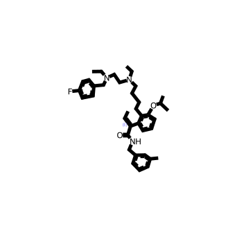 C/C=C(/C(=O)NCc1cccc(C)c1)c1cccc(OC(C)C)c1CCCCN(CC)CCN(CC)Cc1ccc(F)cc1